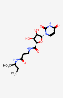 O=C(O)CC(NC(=O)CCNC(=O)[C@H]1O[C@@H](n2ccc(=O)[nH]c2=O)[C@H](O)[C@@H]1O)C(=O)O